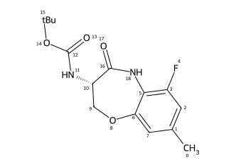 Cc1cc(F)c2c(c1)OC[C@H](NC(=O)OC(C)(C)C)C(=O)N2